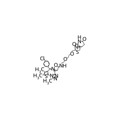 Cc1sc2c(c1C)C(c1ccc(Cl)cc1)=N[C@@H](CC(=O)NCCOCCOCC1=N[C@@]3(CCC(=O)NC3=O)CS1)c1nnc(C)n1-2